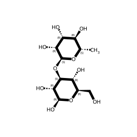 C[C@@H]1O[C@@H](O[C@@H]2[C@@H](O)[C@H](O)O[C@H](CO)[C@H]2O)[C@H](O)[C@H](O)[C@H]1O